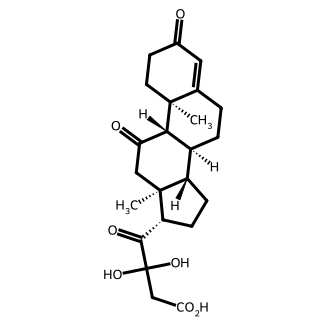 C[C@]12CC(=O)[C@H]3[C@@H](CCC4=CC(=O)CC[C@@]43C)[C@@H]1CC[C@@H]2C(=O)C(O)(O)CC(=O)O